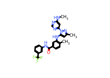 CNc1cc(-n2nc(C)cc2Nc2cc(C(=O)Nc3cccc(C(F)(F)F)c3)ccc2C)ncn1